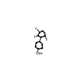 COc1ccc(-c2c(F)ccc(F)c2F)cc1